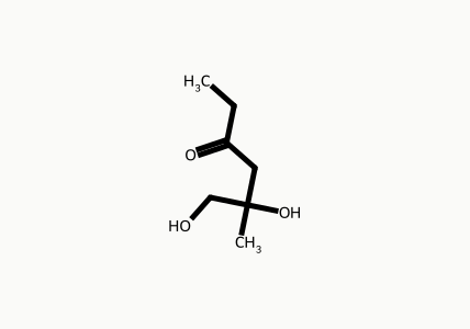 CCC(=O)CC(C)(O)CO